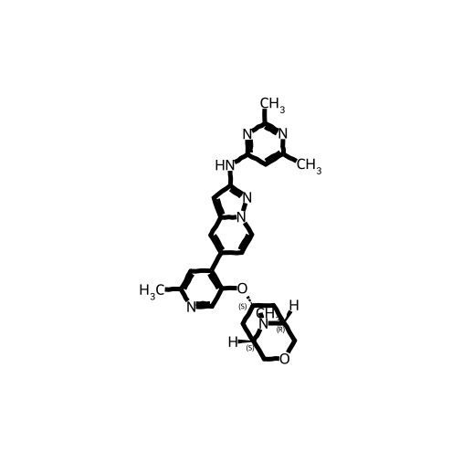 Cc1cc(-c2ccn3nc(Nc4cc(C)nc(C)n4)cc3c2)c(O[C@H]2C[C@H]3COC[C@@H](C2)N3C)cn1